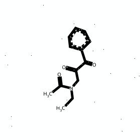 CCN(CC(=O)C(=O)c1ccccc1)C(C)=O